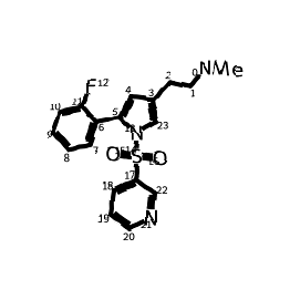 CNCCc1cc(-c2ccccc2F)n(S(=O)(=O)c2cccnc2)c1